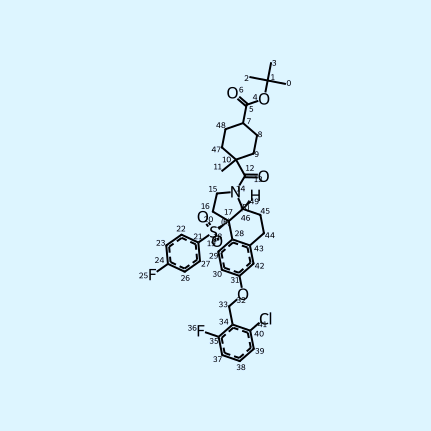 CC(C)(C)OC(=O)C1CCC(C)(C(=O)N2CC[C@@]3(S(=O)(=O)c4ccc(F)cc4)c4ccc(OCc5c(F)cccc5Cl)cc4CC[C@@H]23)CC1